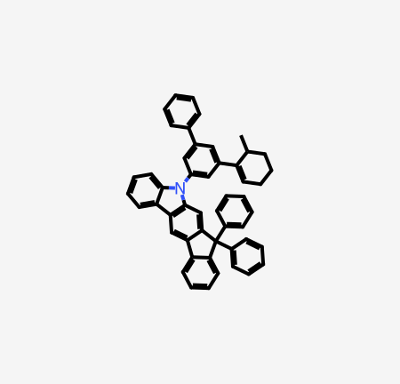 CC1CCCC=C1c1cc(-c2ccccc2)cc(-n2c3ccccc3c3cc4c(cc32)C(c2ccccc2)(c2ccccc2)c2ccccc2-4)c1